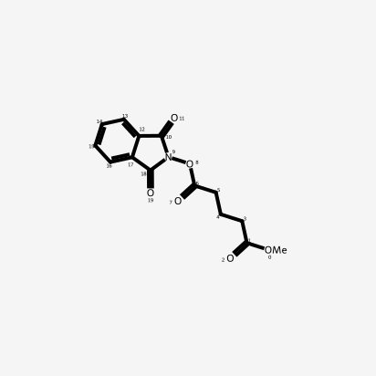 COC(=O)CCCC(=O)ON1C(=O)c2ccccc2C1=O